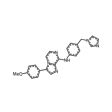 COc1ccc(-c2cnc3c(Nc4ccc(Cn5ccnc5)cc4)nccn23)cc1